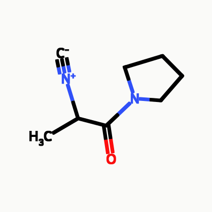 [C-]#[N+]C(C)C(=O)N1CCCC1